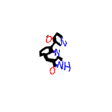 COc1ccncc1-c1cccc2cc3c(nc12)CNC3=O